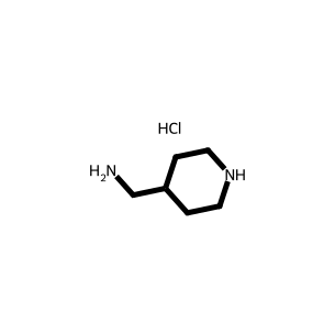 Cl.NCC1CCNCC1